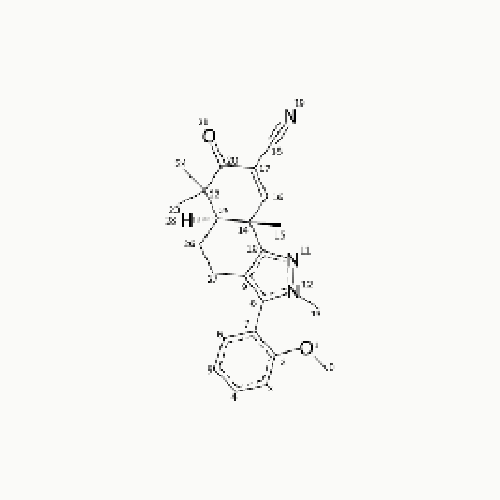 COc1ccccc1-c1c2c(nn1C)[C@@]1(C)C=C(C#N)C(=O)C(C)(C)[C@@H]1CC2